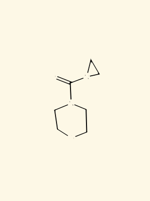 O=C(N1CCOCC1)N1CC1